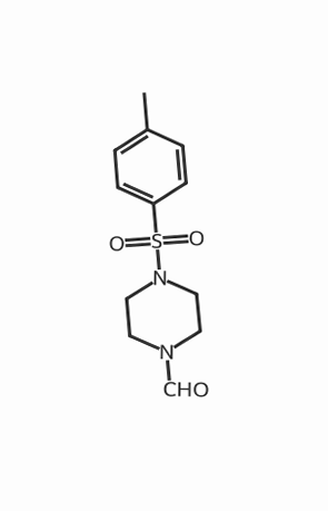 Cc1ccc(S(=O)(=O)N2CCN(C=O)CC2)cc1